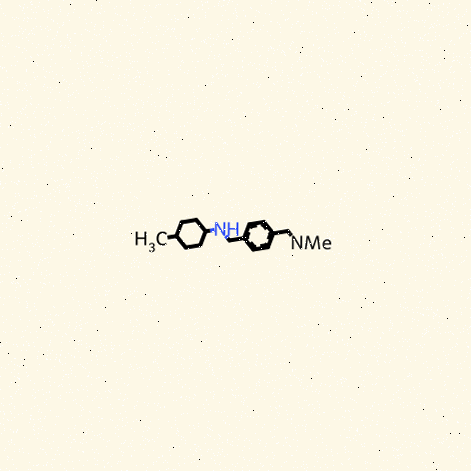 CNCc1ccc(CNC2CCC(C)CC2)cc1